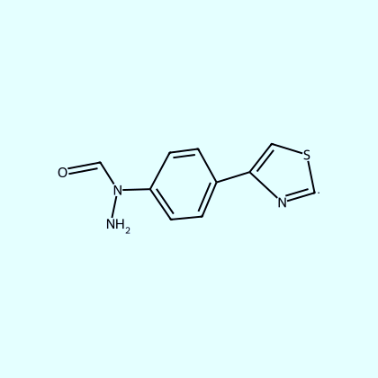 NN(C=O)c1ccc(-c2cs[c]n2)cc1